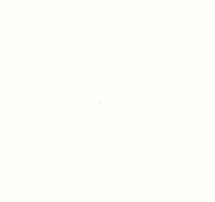 Nc1ccsc1S